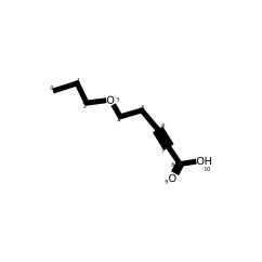 CC[CH]OCCC#CC(=O)O